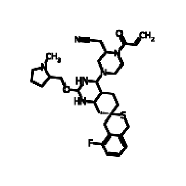 C=CC(=O)N1CCN(C2NC(OCC3CCCN3C)NC3C[C@@]4(CCC32)Cc2c(F)cccc2CS4)CC1CC#N